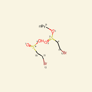 CCCOS(=O)CCBr.O=S(O)CCBr